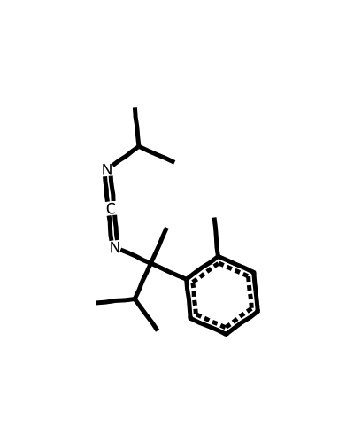 Cc1ccccc1C(C)(N=C=NC(C)C)C(C)C